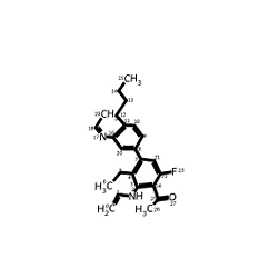 C=CNc1c(CC)c(-c2ccc(CCCC)c(/N=C\C)c2)cc(F)c1C(C)=O